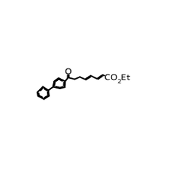 CCOC(=O)/C=C/C=C/CCC(=O)c1ccc(-c2ccccc2)cc1